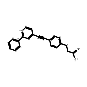 O=C(O)CCc1ccc(C#Cc2ccnc(-c3ccccc3)c2)cc1